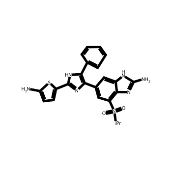 CC(C)S(=O)(=O)c1cc(-c2nc(-c3ccc(N)s3)[nH]c2-c2ccccc2)cc2[nH]c(N)nc12